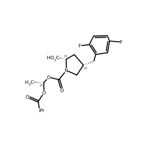 CC(C)C(=O)O[C@H](C)OC(=O)N1C[C@@H](Cc2cc(F)ccc2F)C[C@H]1C(=O)O